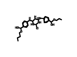 CCCCOC(O)c1ccc(NC2NC(Cl)NC(Nc3ccc(C(O)OCCC)cc3)N2)cc1